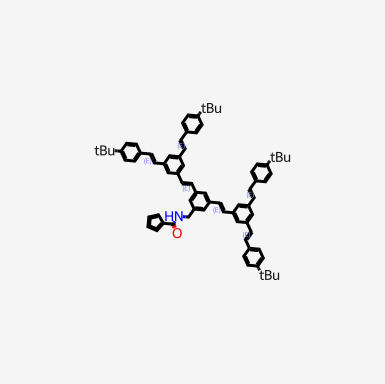 CC(C)(C)c1ccc(/C=C/c2cc(/C=C/c3ccc(C(C)(C)C)cc3)cc(/C=C/c3cc(/C=C/c4cc(/C=C/c5ccc(C(C)(C)C)cc5)cc(/C=C/c5ccc(C(C)(C)C)cc5)c4)cc(CNC(=O)C4=C=C=C=C4)c3)c2)cc1